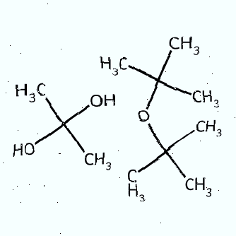 CC(C)(C)OC(C)(C)C.CC(C)(O)O